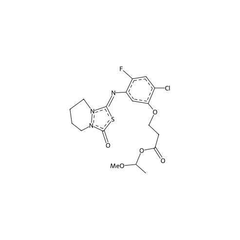 COC(C)OC(=O)CCOc1cc(N=c2sc(=O)n3n2CCCC3)c(F)cc1Cl